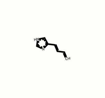 [CH]=CC=Cc1c[nH]cn1